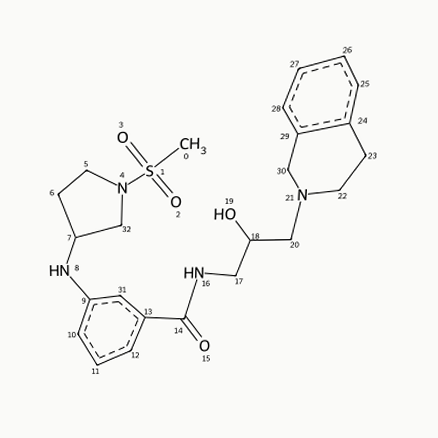 CS(=O)(=O)N1CCC(Nc2cccc(C(=O)NCC(O)CN3CCc4ccccc4C3)c2)C1